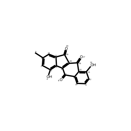 Cc1cc(O)c2c3c(=O)c4cccc(O)c4c(=O)c=3c(=O)c2c1